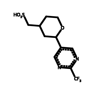 O=S(=O)(O)CC1CCOC(c2cnc(C(F)(F)F)nc2)C1